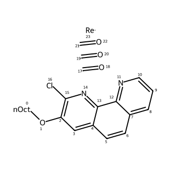 CCCCCCCCOc1cc2ccc3cccnc3c2nc1Cl.[C]=O.[C]=O.[C]=O.[Re]